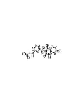 O=C(O)CNc1cccc(S(=O)(=O)n2c(=O)[nH]c3cc(Cl)ccc3c2=O)c1